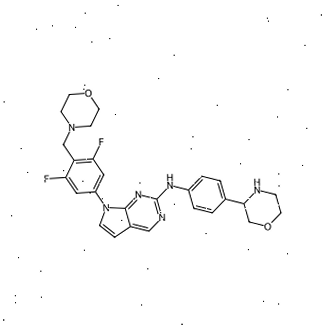 Fc1cc(-n2ccc3cnc(Nc4ccc(C5COCCN5)cc4)nc32)cc(F)c1CN1CCOCC1